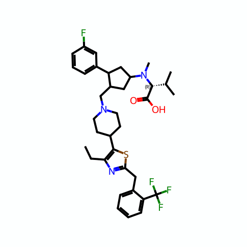 CCc1nc(Cc2ccccc2C(F)(F)F)sc1C1CCN(CC2CC(N(C)[C@@H](C(=O)O)C(C)C)CC2c2cccc(F)c2)CC1